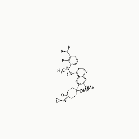 COc1cc2nccc(N[C@H](C)c3cccc(C(F)F)c3F)c2cc1C1(OC)CCS(=O)(=NC2CC2)CC1